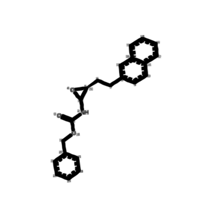 O=C(NC1O[C@H]1CCc1ccc2ccccc2c1)OCc1ccccc1